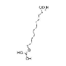 O=C(O)CCCCCCCCCCON(O)O